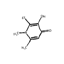 CCc1c(O)c(=O)cc(C)n1C